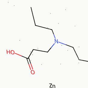 CCCN(CCC)CCC(=O)O.[Zn]